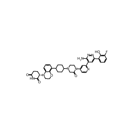 Nc1nnc(-c2cccc(F)c2O)cc1-c1cc(N2CCN(C3CCC(c4cccc5c4OCCN5[C@@H]4CCC(=O)NC4=O)CC3)CC2=O)ccn1